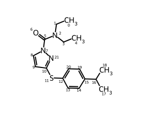 CCN(CC)C(=O)n1ccc(Sc2ccc(C(C)C)cc2)n1